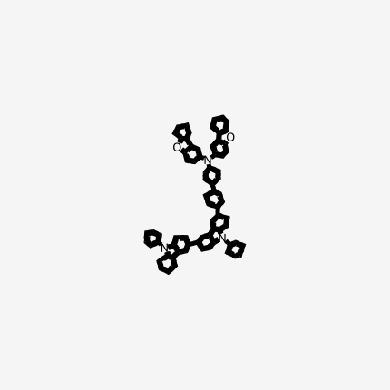 c1ccc(-n2c3ccccc3c3cc(-c4ccc5c(c4)c4cc(-c6ccc(-c7ccc(N(c8ccc9oc%10ccccc%10c9c8)c8ccc9oc%10ccccc%10c9c8)cc7)cc6)ccc4n5-c4ccccc4)ccc32)cc1